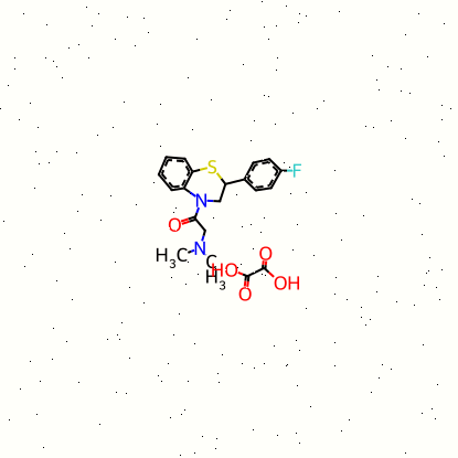 CN(C)CC(=O)N1CC(c2ccc(F)cc2)Sc2ccccc21.O=C(O)C(=O)O